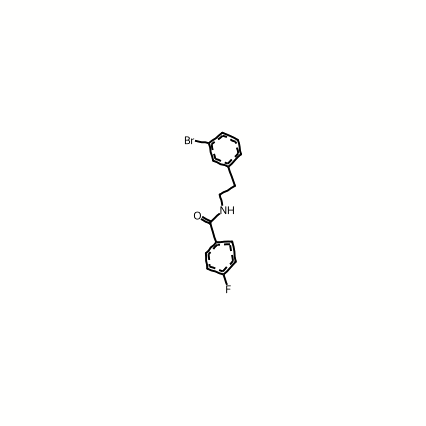 O=C(NCCc1cccc(Br)c1)c1ccc(F)cc1